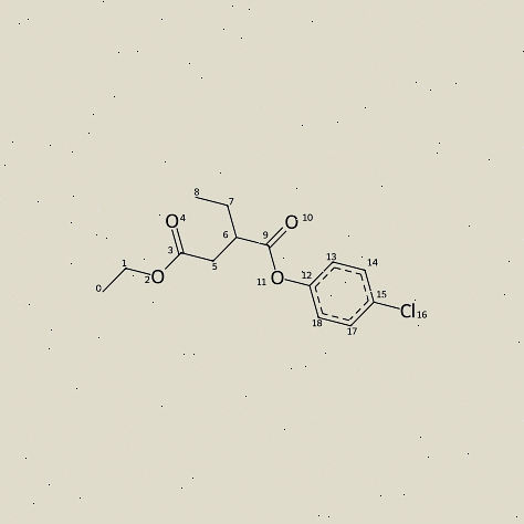 CCOC(=O)CC(CC)C(=O)Oc1ccc(Cl)cc1